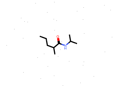 CCCC(C)C(=O)NC(C)C